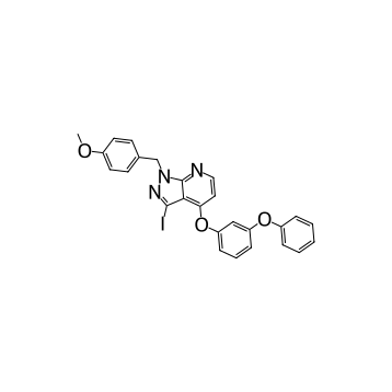 COc1ccc(Cn2nc(I)c3c(Oc4cccc(Oc5ccccc5)c4)ccnc32)cc1